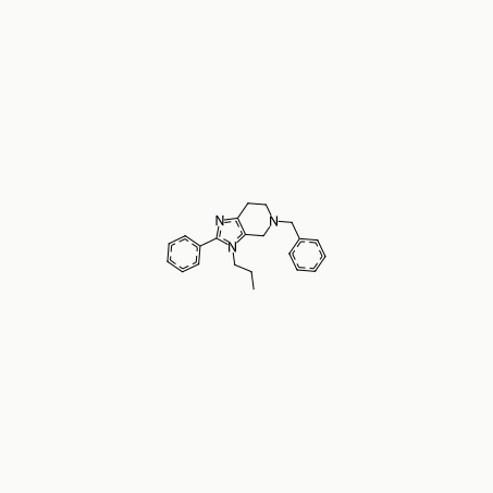 CCCn1c(-c2ccccc2)nc2c1CN(Cc1ccccc1)CC2